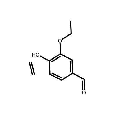 C=C.CCOc1cc(C=O)ccc1O